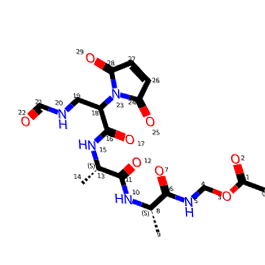 CC(=O)OCNC(=O)[C@H](C)NC(=O)[C@H](C)NC(=O)C(CNC=O)N1C(=O)C=CC1=O